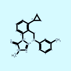 Cc1cccc(OCc2c(C3CC3)cccc2-n2nnn(C)c2=O)c1